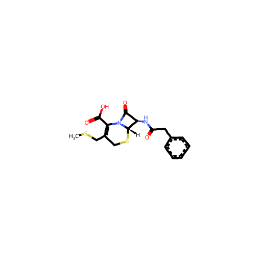 CSCC1=C(C(=O)O)N2C(=O)[C@@H](NC(=O)Cc3ccccc3)[C@@H]2SC1